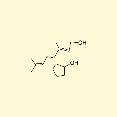 CC(C)=CCC/C(C)=C/CO.OC1CCCC1